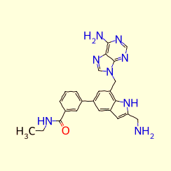 CCNC(=O)c1cccc(-c2cc(Cn3cnc4c(N)ncnc43)c3[nH]c(CN)cc3c2)c1